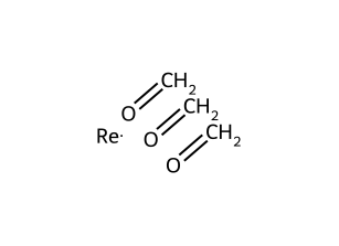 C=O.C=O.C=O.[Re]